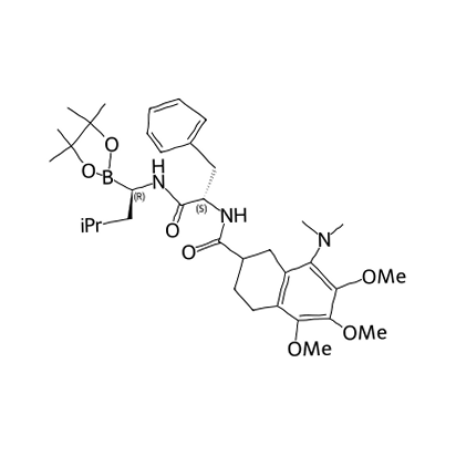 COc1c2c(c(N(C)C)c(OC)c1OC)CC(C(=O)N[C@@H](Cc1ccccc1)C(=O)N[C@@H](CC(C)C)B1OC(C)(C)C(C)(C)O1)CC2